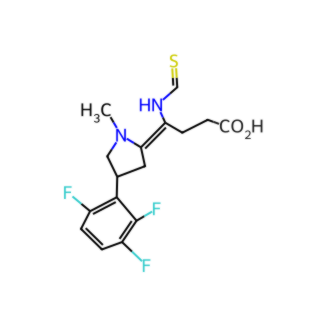 CN1CC(c2c(F)ccc(F)c2F)C/C1=C(\CCC(=O)O)NC=S